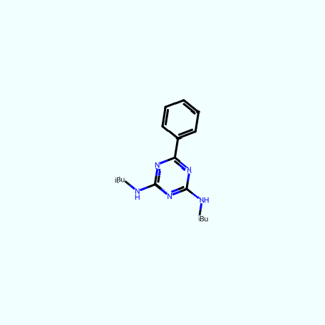 CCC(C)Nc1nc(NC(C)CC)nc(-c2ccccc2)n1